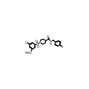 COc1cc(Cl)cc(S(=O)(=O)N2CCC(C(=O)NCc3ccc(F)cc3)CC2)c1